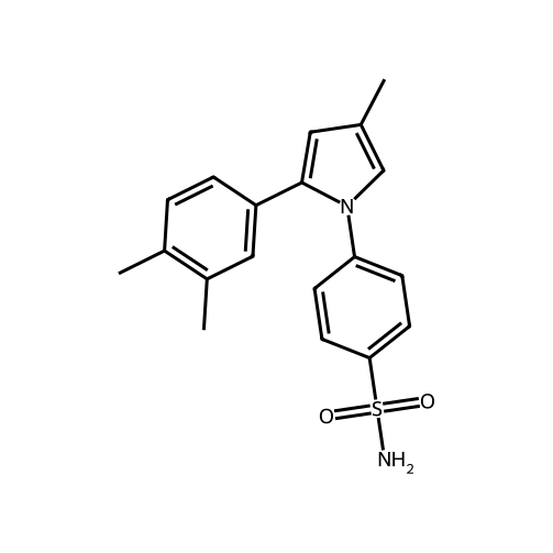 Cc1cc(-c2ccc(C)c(C)c2)n(-c2ccc(S(N)(=O)=O)cc2)c1